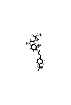 CC(=O)Nc1c[nH]c2ccc(OCCc3ccc(C(F)(F)F)cc3)c(Br)c12